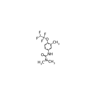 Cc1cc(NC(=O)N(C)C)ccc1OC(F)(F)C(F)F